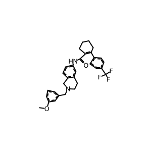 COc1cccc(CN2CCc3cc(NC(=O)C4=C(c5ccc(C(F)(F)F)cc5)CCCC4)ccc3C2)c1